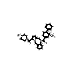 CC(C)N1CCN(C(=O)c2ccc3n2Cc2ccccc2N(C(=O)C2=CC(C)(C(F)(F)F)C(c4ccccc4)C=C2)C3)CC1